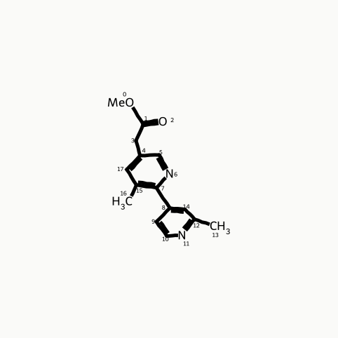 COC(=O)Cc1cnc(-c2ccnc(C)c2)c(C)c1